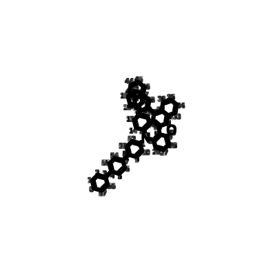 c1ccc(-c2ccc(-c3ccc(N(c4ccc(-c5ccccc5)cc4)c4cccc5oc6c7ccccc7c(-c7ccc8ccccc8c7)cc6c45)cc3)cc2)cc1